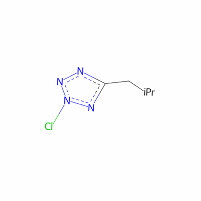 CC(C)Cc1nnn(Cl)n1